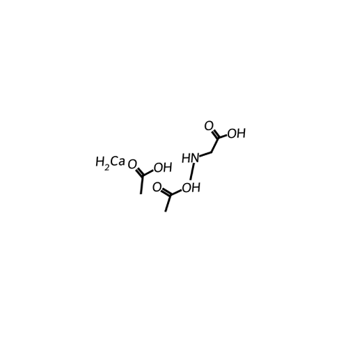 CC(=O)O.CC(=O)O.CNCC(=O)O.[CaH2]